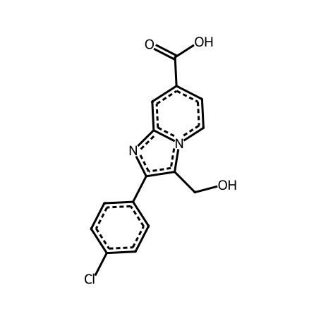 O=C(O)c1ccn2c(CO)c(-c3ccc(Cl)cc3)nc2c1